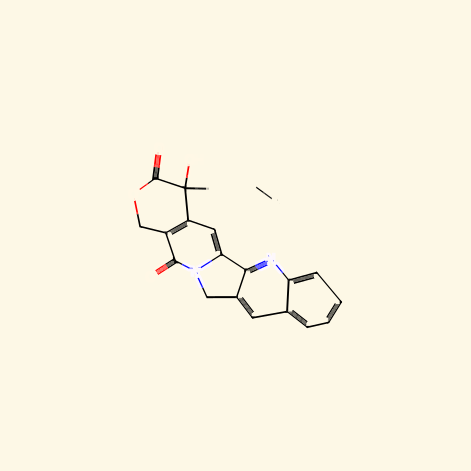 CC(C)=O.CCC1(O)C(=O)OCc2c1cc1n(c2=O)Cc2cc3ccccc3nc2-1